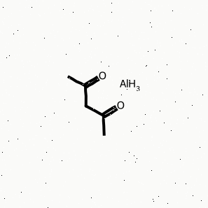 CC(=O)CC(C)=O.[AlH3]